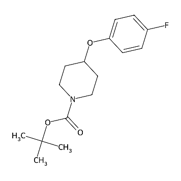 CC(C)(C)OC(=O)N1CCC(Oc2ccc(F)cc2)CC1